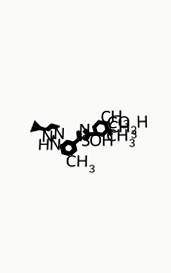 Cc1cc(Nc2nccc(C3CC3)n2)cc(-c2cnc(C3(O)CCC(C)(C(=O)O)C(C)(C)C3)s2)c1